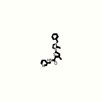 C=C1N(Cc2ccccc2)CCN1c1cc(C)c(C(=O)NCc2cccnc2)s1